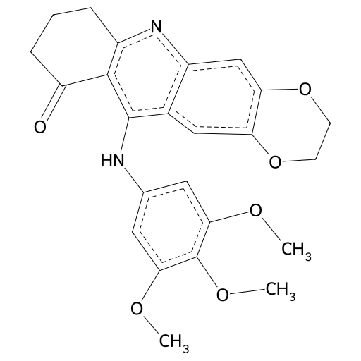 COc1cc(Nc2c3c(nc4cc5c(cc24)OCCO5)CCCC3=O)cc(OC)c1OC